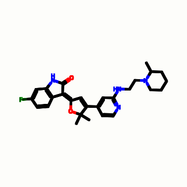 CC1CCCCN1CCNc1cc(C2=C/C(=C3\C(=O)Nc4cc(F)ccc43)OC2(C)C)ccn1